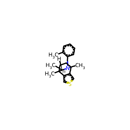 Cc1ccccc1N1[C@@H](C)C2(C)CCC1(C)c1cscc12